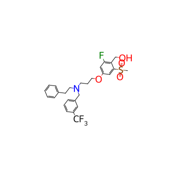 CS(=O)(=O)c1cc(OCCCN(CCc2ccccc2)Cc2cccc(C(F)(F)F)c2)cc(F)c1CO